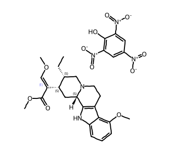 CC[C@@H]1CN2CCc3c([nH]c4cccc(OC)c34)[C@@H]2C[C@@H]1/C(=C\OC)C(=O)OC.O=[N+]([O-])c1cc([N+](=O)[O-])c(O)c([N+](=O)[O-])c1